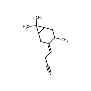 CC1CC2C(CC1=CCC#N)C2(C)C